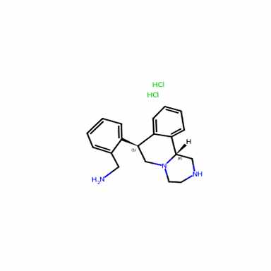 Cl.Cl.NCc1ccccc1[C@@H]1CN2CCNC[C@H]2c2ccccc21